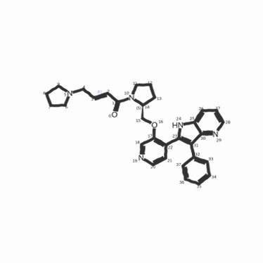 O=C(/C=C/CN1CCCC1)N1CCC[C@H]1COc1cnccc1-c1[nH]c2cccnc2c1-c1ccccc1